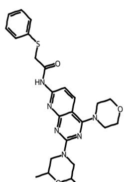 CC1CN(c2nc(N3CCOCC3)c3ccc(NC(=O)CSc4ccccc4)nc3n2)CC(C)O1